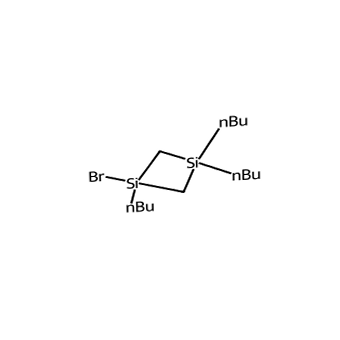 CCCC[Si]1(Br)C[Si](CCCC)(CCCC)C1